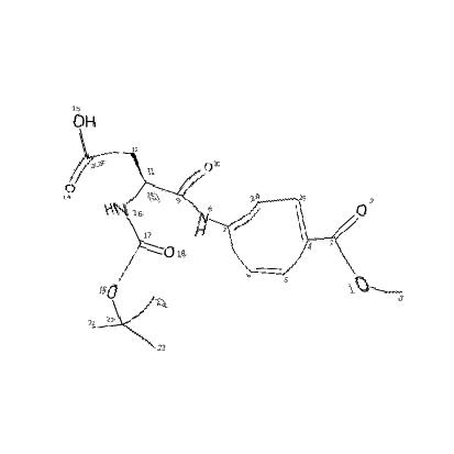 COC(=O)c1ccc(NC(=O)[C@H](CC(=O)O)NC(=O)OC(C)(C)C)cc1